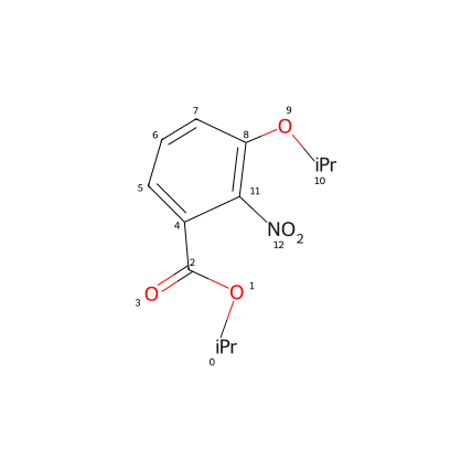 CC(C)OC(=O)c1cccc(OC(C)C)c1[N+](=O)[O-]